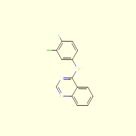 Fc1ccc(Nc2ncnc3ccccc23)cc1Cl